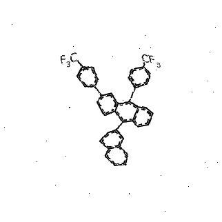 FC(F)(F)c1ccc(-c2ccc3c(-c4ccc5ccccc5c4)c4ccccc4c(-c4ccc(C(F)(F)F)cc4)c3c2)cc1